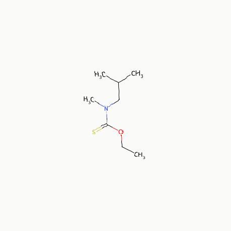 CCOC(=S)N(C)CC(C)C